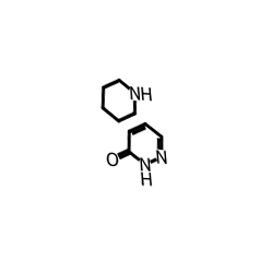 C1CCNCC1.O=c1cccn[nH]1